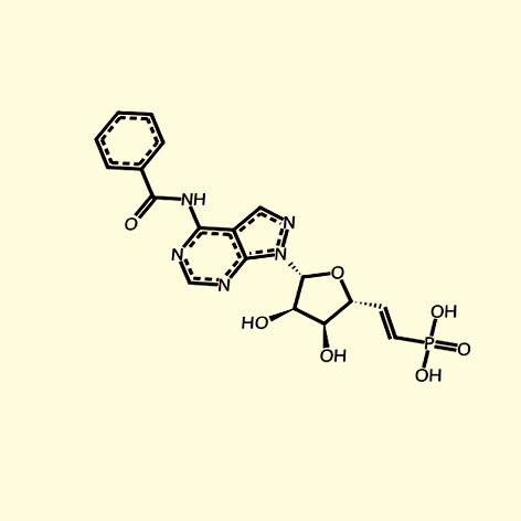 O=C(Nc1ncnc2c1cnn2[C@@H]1O[C@H](C=CP(=O)(O)O)[C@@H](O)[C@H]1O)c1ccccc1